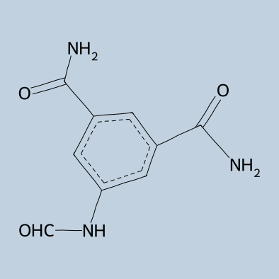 NC(=O)c1cc(NC=O)cc(C(N)=O)c1